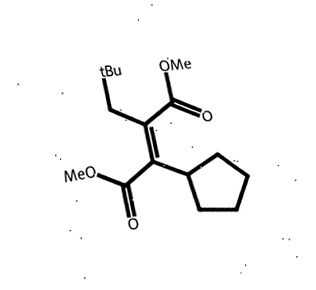 COC(=O)C(CC(C)(C)C)=C(C(=O)OC)C1CCCC1